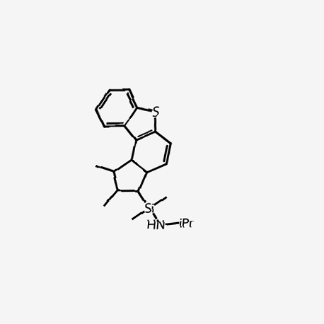 CC(C)N[Si](C)(C)C1C(C)C(C)C2c3c(sc4ccccc34)C=CC21